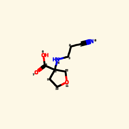 N#CCCNC1(C(=O)O)CCOC1